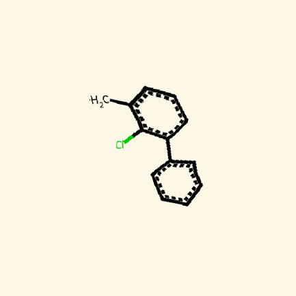 [CH2]c1cccc(-c2ccccc2)c1Cl